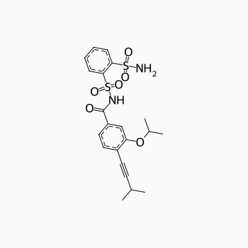 CC(C)C#Cc1ccc(C(=O)NS(=O)(=O)c2ccccc2S(N)(=O)=O)cc1OC(C)C